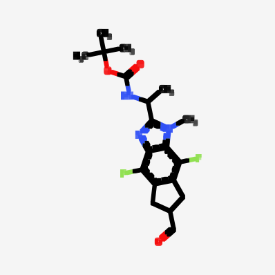 CC(NC(=O)OC(C)(C)C)c1nc2c(F)c3c(c(F)c2n1C)CC(C=O)C3